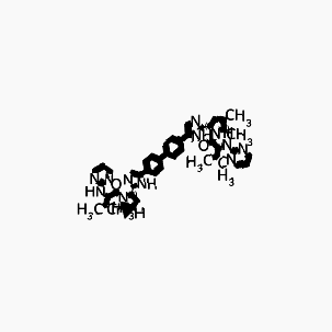 CC(C)C(Nc1ncccn1)C(=O)N1[C@@H]2C[C@@H]2C[C@H]1c1ncc(-c2ccc(-c3ccc(-c4cnc([C@@H]5C[C@@H](C)[C@@H](C)N5C(=O)[C@@H](Nc5ncccn5)C(C)C)[nH]4)cc3)cc2)[nH]1